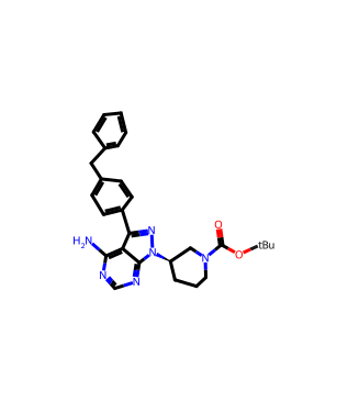 CC(C)(C)OC(=O)N1CCC[C@@H](n2nc(-c3ccc(Cc4ccccc4)cc3)c3c(N)ncnc32)C1